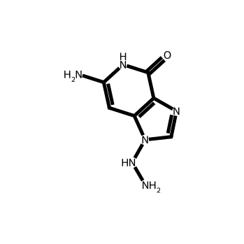 NNn1cnc2c(=O)[nH]c(N)cc21